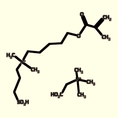 C=C(C)C(=O)OCCCCC[N+](C)(C)CCCS(=O)(=O)O.C[N+](C)(C)CC(=O)O